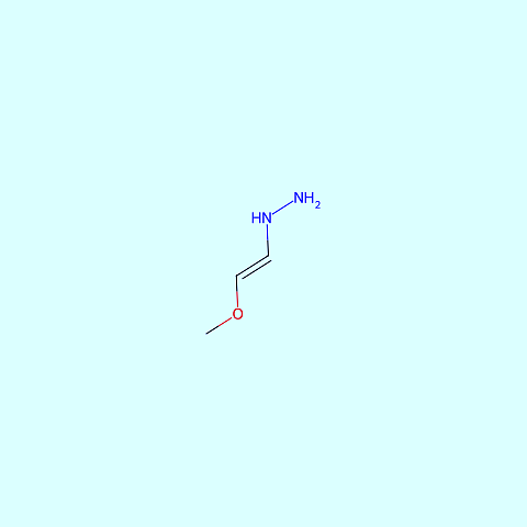 CO/C=C/NN